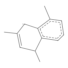 CC1=CC(C)c2cccc(C)c2[CH]1